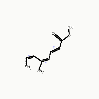 C\C=C/C(N)=C\C=C\C(=O)OCCCC